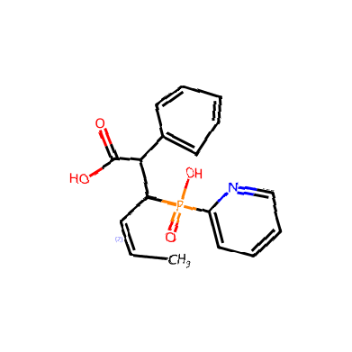 C/C=C\C(C(C(=O)O)c1ccccc1)P(=O)(O)c1ccccn1